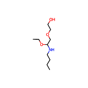 CCCCNC(COCCO)OCC